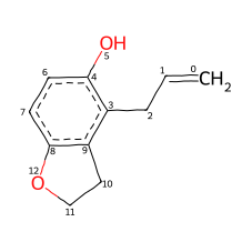 C=CCc1c(O)ccc2c1CCO2